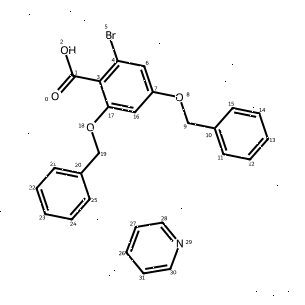 O=C(O)c1c(Br)cc(OCc2ccccc2)cc1OCc1ccccc1.c1ccncc1